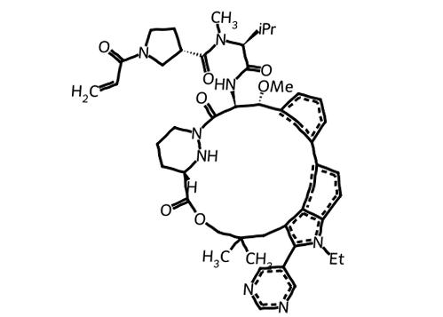 C=CC(=O)N1CC[C@H](C(=O)N(C)[C@H](C(=O)N[C@@H]2C(=O)N3CCC[C@H](N3)C(=O)OCC(C)(C)Cc3c(-c4cncnc4)n(CC)c4ccc(cc34)-c3cccc(c3)[C@H]2OC)C(C)C)C1